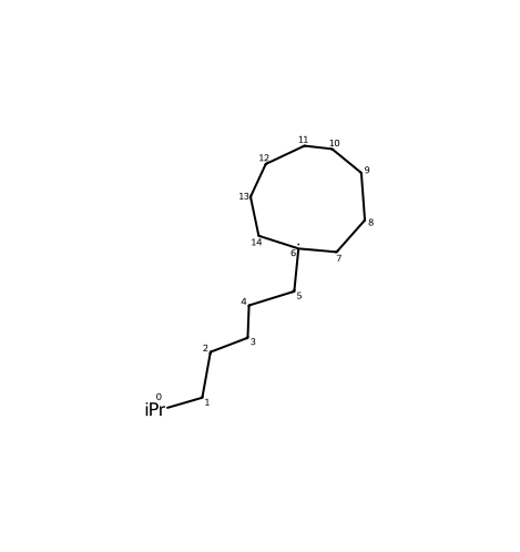 CC(C)CCCCC[C]1CCCCCCCC1